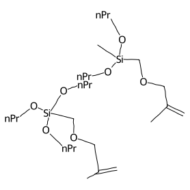 C=C(C)COC[Si](C)(OCCC)OCCC.C=C(C)COC[Si](OCCC)(OCCC)OCCC